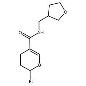 CCC1CCC(C(=O)NCC2CCOC2)=CO1